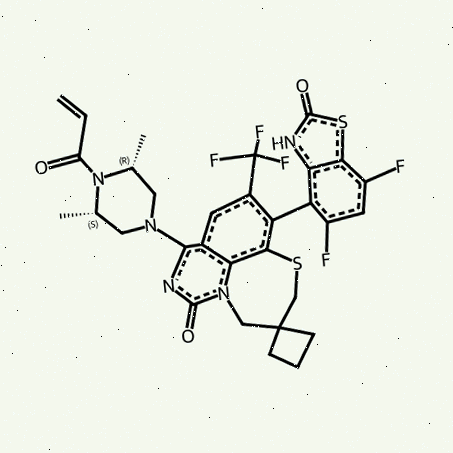 C=CC(=O)N1[C@H](C)CN(c2nc(=O)n3c4c(c(-c5c(F)cc(F)c6sc(=O)[nH]c56)c(C(F)(F)F)cc24)SCC2(CCC2)C3)C[C@@H]1C